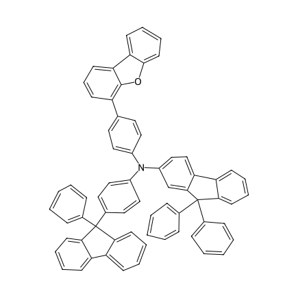 c1ccc(C2(c3ccc(N(c4ccc(-c5cccc6c5oc5ccccc56)cc4)c4ccc5c(c4)C(c4ccccc4)(c4ccccc4)c4ccccc4-5)cc3)c3ccccc3-c3ccccc32)cc1